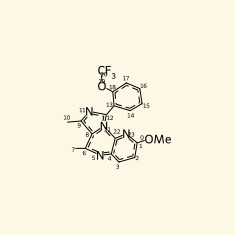 COc1ccc2nc(C)c3c(C)nc(-c4ccccc4OC(F)(F)F)n3c2n1